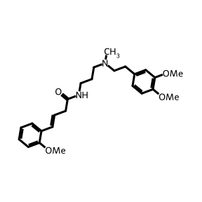 COc1ccccc1/C=C/CC(=O)NCCCN(C)CCc1ccc(OC)c(OC)c1